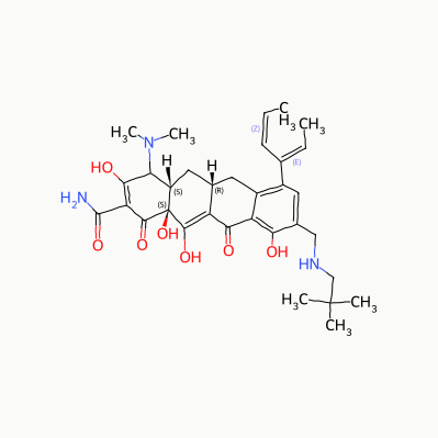 C/C=C\C(=C/C)c1cc(CNCC(C)(C)C)c(O)c2c1C[C@H]1C[C@H]3C(N(C)C)C(O)=C(C(N)=O)C(=O)[C@@]3(O)C(O)=C1C2=O